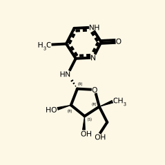 Cc1c[nH]c(=O)nc1N[C@@H]1O[C@](C)(CO)[C@@H](O)[C@H]1O